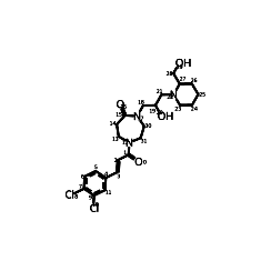 O=C(/C=C/c1ccc(Cl)c(Cl)c1)N1CCC(=O)N(CC(O)CN2CCCCC2CO)CC1